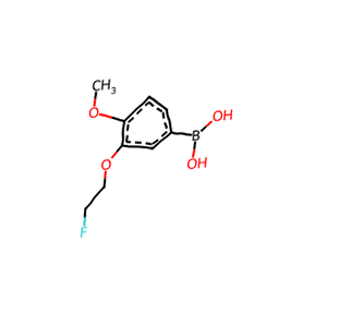 COc1ccc(B(O)O)cc1OCCF